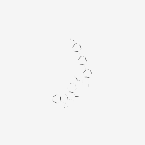 O=C(C(O)c1cccc(-c2ccc(-c3ccc(Cl)cc3)cc2)c1)N1CCc2nc(C3(c4ccccc4)CC3)[nH]c(=O)c2C1